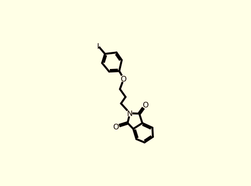 O=C1c2ccccc2C(=O)N1CCCOc1ccc(I)cc1